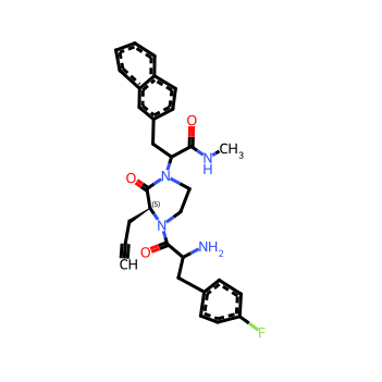 C#CC[C@H]1C(=O)N(C(Cc2ccc3ccccc3c2)C(=O)NC)CCN1C(=O)C(N)Cc1ccc(F)cc1